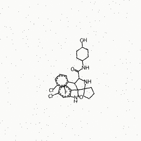 O=C(NC1CCC(O)CC1)C1NC2(CCCC2)C2(C(=O)Nc3cc(Cl)ccc32)C1c1cccc(Cl)c1F